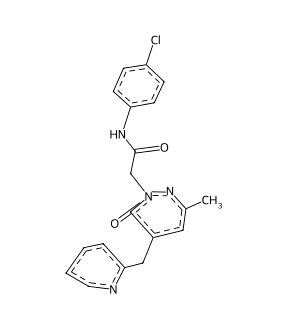 Cc1cc(Cc2ccccn2)c(=O)n(CC(=O)Nc2ccc(Cl)cc2)n1